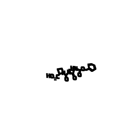 O=C(NC1CN(C(=O)N2CCC2C(=O)O)C1=O)OCc1ccccc1